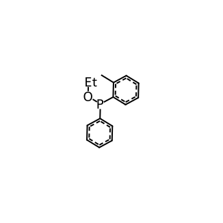 CCOP(c1ccccc1)c1ccccc1C